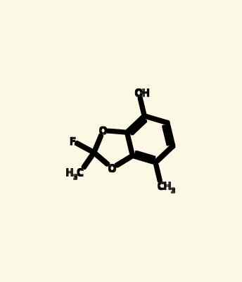 Cc1ccc(O)c2c1OC(C)(F)O2